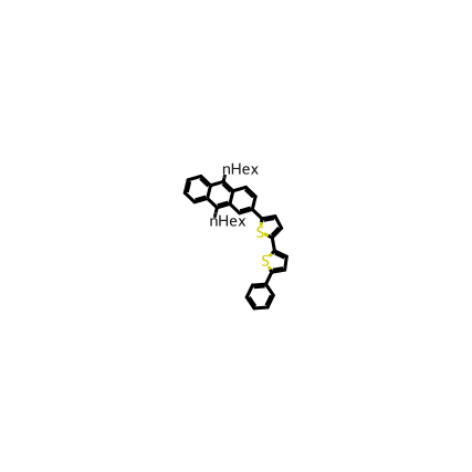 CCCCCCc1c2ccccc2c(CCCCCC)c2cc(-c3ccc(-c4ccc(-c5ccccc5)s4)s3)ccc12